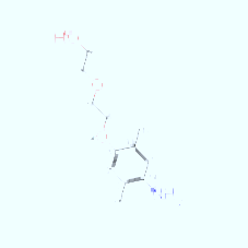 Cc1cc(OCCOCCO)c(C)cc1N